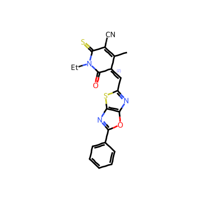 CCN1C(=O)/C(=C\c2nc3oc(-c4ccccc4)nc3s2)C(C)=C(C#N)C1=S